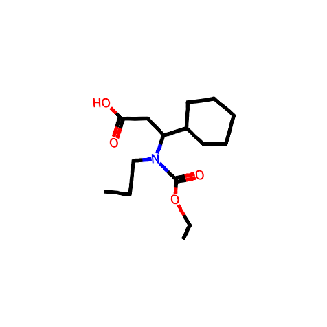 CCCN(C(=O)OCC)C(CC(=O)O)C1CCCCC1